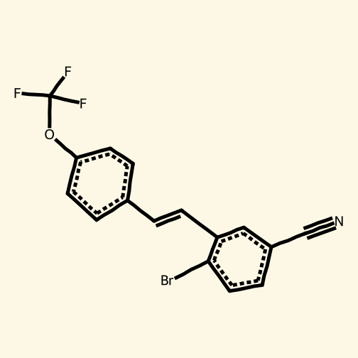 N#Cc1ccc(Br)c(/C=C/c2ccc(OC(F)(F)F)cc2)c1